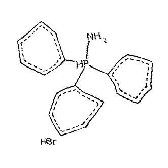 Br.N[PH](c1ccccc1)(c1ccccc1)c1ccccc1